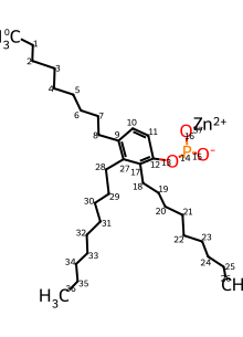 CCCCCCCCCc1ccc(OP([O-])[O-])c(CCCCCCCCC)c1CCCCCCCCC.[Zn+2]